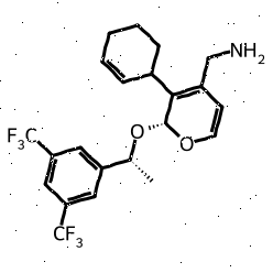 C[C@@H](O[C@H]1OC=CC(CN)=C1C1C=CCCC1)c1cc(C(F)(F)F)cc(C(F)(F)F)c1